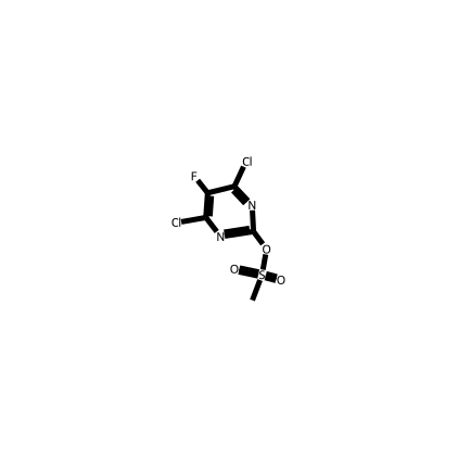 CS(=O)(=O)Oc1nc(Cl)c(F)c(Cl)n1